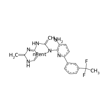 C=C1N=C(NC(=C)N(CCCCC)c2nc(-c3cccc(C(C)(F)F)c3)ccc2N)C=CN1